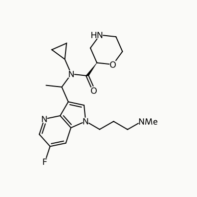 CNCCCn1cc(C(C)N(C(=O)[C@H]2CNCCO2)C2CC2)c2ncc(F)cc21